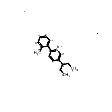 CCC(CC)c1ccc(-c2ccccc2C)nc1